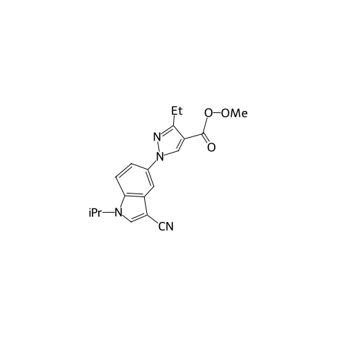 CCc1nn(-c2ccc3c(c2)c(C#N)cn3C(C)C)cc1C(=O)OOC